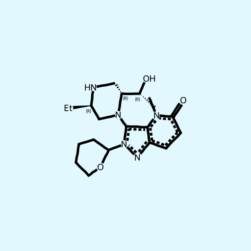 CC[C@@H]1CN(c2c3c(ccc(=O)n3C)nn2C2CCCCO2)[C@@H]([C@@H](C)O)CN1